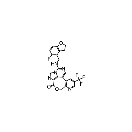 O=C1OCc2ncc(C(F)(F)F)cc2-c2cnc(NCc3c(F)ccc4c3CCO4)n3cnc1c23